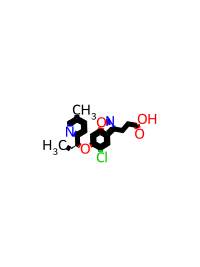 CC[C@@H](Oc1cc2onc(CCC(=O)O)c2cc1Cl)c1ccc(C)cn1